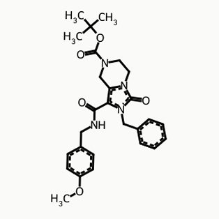 COc1ccc(CNC(=O)c2c3n(c(=O)n2Cc2ccccc2)CCN(C(=O)OC(C)(C)C)C3)cc1